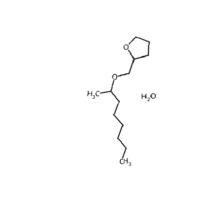 CCCCCCC(C)OCC1CCCO1.O